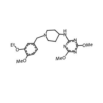 CCOc1cc(CN2CCC(Nc3nc(OC)nc(OC)n3)CC2)ccc1OC